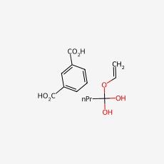 C=COC(O)(O)CCC.O=C(O)c1cccc(C(=O)O)c1